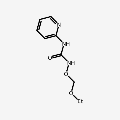 CCOCONC(=O)Nc1ccccn1